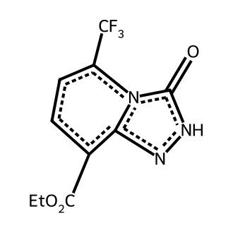 CCOC(=O)c1ccc(C(F)(F)F)n2c(=O)[nH]nc12